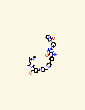 C=CNC(=C)CCC(C)N(C)C(=C)c1cc(N2CCC(CN3CCC(c4ccc(Nc5nc(N6CCCC(N7CC8CCCN8C7=O)C6)nnc5C=O)cc4)CC3)CC2)ccc1C=O